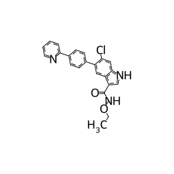 CCONC(=O)c1c[nH]c2cc(Cl)c(-c3ccc(-c4ccccn4)cc3)cc12